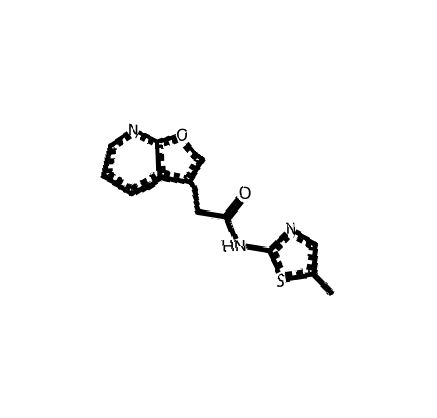 Cc1cnc(NC(=O)Cc2coc3ncccc23)s1